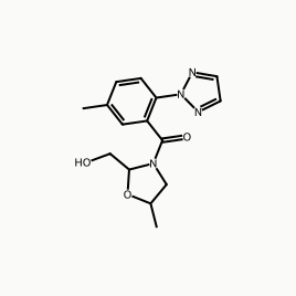 Cc1ccc(-n2nccn2)c(C(=O)N2CC(C)OC2CO)c1